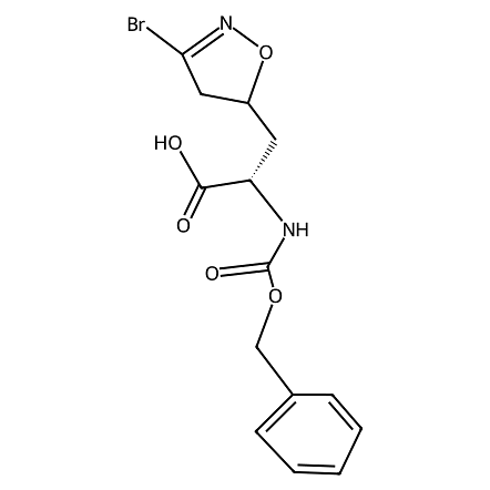 O=C(N[C@@H](CC1CC(Br)=NO1)C(=O)O)OCc1ccccc1